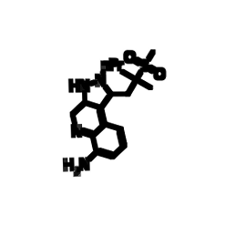 CCCN1NC2CN=c3c(N)cccc3=C2C1CC(C)(C)S(C)(=O)=O